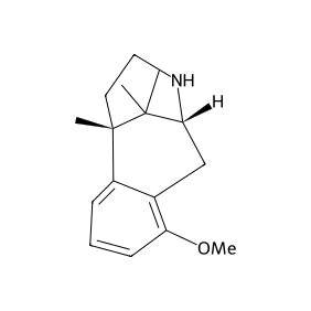 COc1cccc2c1C[C@H]1NCC[C@]2(C)C1(C)C